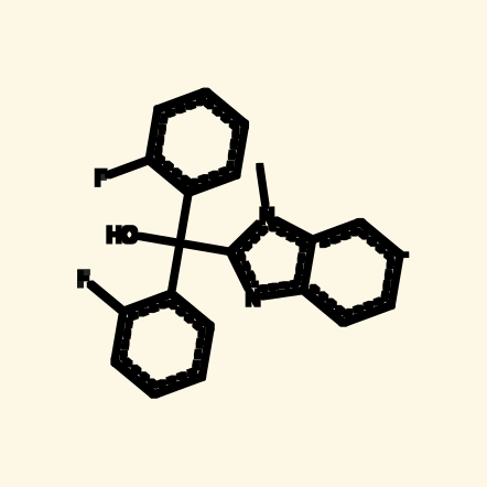 Cn1c(C(O)(c2ccccc2F)c2ccccc2F)nc2cc[c]cc21